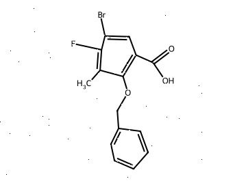 Cc1c(F)c(Br)cc(C(=O)O)c1OCc1ccccc1